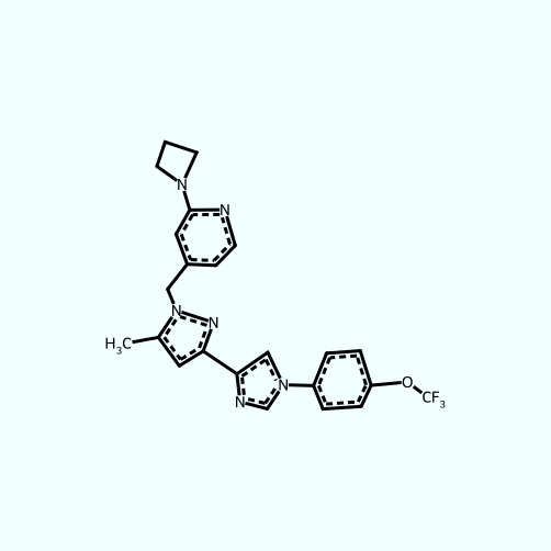 Cc1cc(-c2cn(-c3ccc(OC(F)(F)F)cc3)cn2)nn1Cc1ccnc(N2CCC2)c1